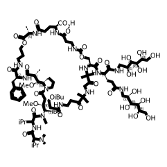 CC[C@H](C)[C@@H]([C@@H](CC(=O)N1CCC[C@H]1[C@H](OC)[C@@H](C)C(=O)N[C@@H](Cc1ccccc1)C(=O)NCCCOC(=O)[C@H](C)NC(=O)CC[C@H](NC(=O)CCNC(=O)OC[C@H](NC(C)(C)C(=O)CNC(C)(C)C(=O)CCNC(=O)CCOCC(C)C)C(=O)N[C@@H](CCC(=O)NC[C@H](O)[C@@H](O)[C@H](O)[C@H](O)CO)C(=O)NC[C@H](O)[C@@H](O)[C@H](O)[C@H](O)CO)C(=O)O)OC)N(C)C(=O)C(NC(=O)C(C(C)C)N(C)C)C(C)C